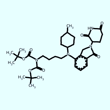 CC1CCC(N(CCCCN(C(=O)OC(C)(C)C)C(=O)OC(C)(C)C)c2cccc3c2CN(C2CCC(=O)NC2=O)C3=O)CC1